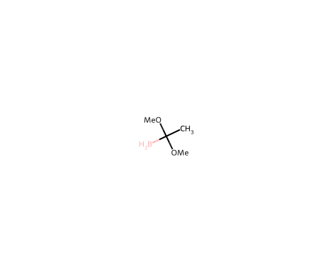 BC(C)(OC)OC